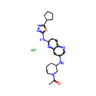 CC(=O)N1CCCC(Nc2cnc3ccc(Nc4nnc(C5CCCC5)s4)nc3c2)C1.Cl